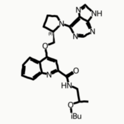 CCC(C)OC(C)CNC(=O)c1cc(OC[C@H]2CCCN2c2ncnc3[nH]cnc23)c2ccccc2n1